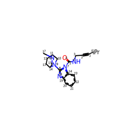 CC(C)C#CCNC(=O)n1c(N2CC3CCC2CN3C)nc2ccccc21